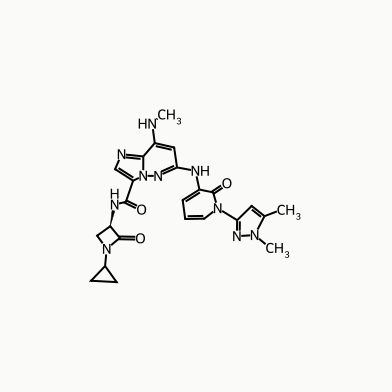 CNc1cc(Nc2cccn(-c3cc(C)n(C)n3)c2=O)nn2c(C(=O)N[C@@H]3CN(C4CC4)C3=O)cnc12